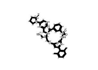 Cc1cccc(C)c1-c1cc2nc(n1)NS(=O)(=O)c1cccc(c1)C(=O)N(Cc1cncc(N3CCC[C@H]3C)n1)[C@H](CC(C)(C)C)CO2